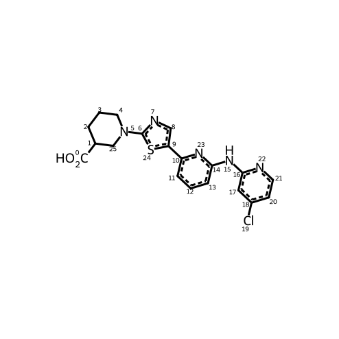 O=C(O)C1CCCN(c2ncc(-c3cccc(Nc4cc(Cl)ccn4)n3)s2)C1